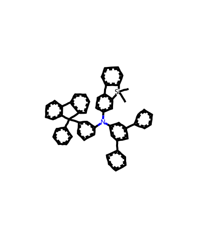 C[Si]1(C)c2ccccc2-c2ccc(N(c3cc(-c4ccccc4)cc(-c4ccccc4)c3)c3cccc(C4(c5ccccc5)c5ccccc5-c5ccccc54)c3)cc21